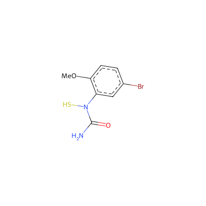 COc1ccc(Br)cc1N(S)C(N)=O